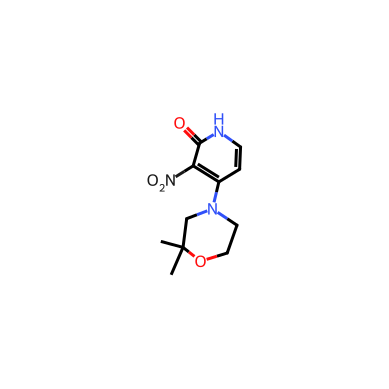 CC1(C)CN(c2cc[nH]c(=O)c2[N+](=O)[O-])CCO1